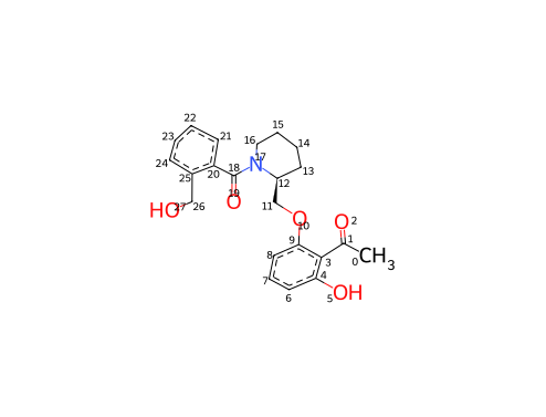 CC(=O)c1c(O)cccc1OC[C@@H]1CCCCN1C(=O)c1ccccc1CO